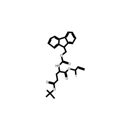 C=CC(I)OC(=O)C(CCC(=O)OC(C)(C)C)NC(=O)OCC1c2ccccc2-c2ccccc21